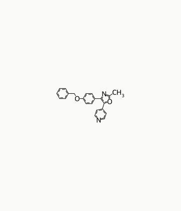 Cc1nc(-c2ccc(OCc3ccccc3)cc2)c(-c2ccncc2)o1